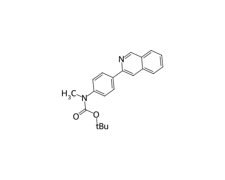 CN(C(=O)OC(C)(C)C)c1ccc(-c2cc3ccccc3cn2)cc1